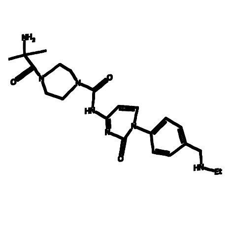 CCNCc1ccc(-n2ccc(NC(=O)N3CCN(C(=O)C(C)(C)N)CC3)nc2=O)cc1